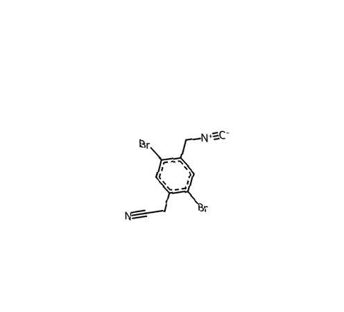 [C-]#[N+]Cc1cc(Br)c(CC#N)cc1Br